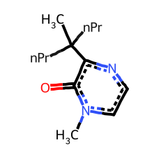 CCCC(C)(CCC)c1nccn(C)c1=O